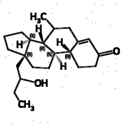 CCC(O)C[C@@]12CCC[C@H]1[C@@H]1C(C)CC3=CC(=O)CC[C@@H]3[C@H]1CC2